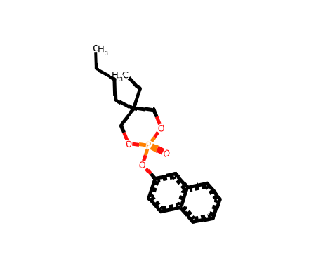 CCCCC1(CC)COP(=O)(Oc2ccc3ccccc3c2)OC1